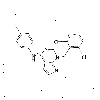 Cc1ccc(Nc2ncn(Cc3c(Cl)cccc3Cl)c3ncnc2-3)cc1